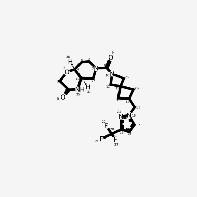 O=C1CO[C@H]2CCN(C(=O)N3CC4(CC(Cn5ccc(C(F)(F)F)n5)C4)C3)C[C@H]2N1